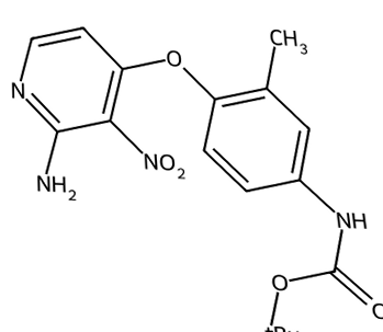 Cc1cc(NC(=O)OC(C)(C)C)ccc1Oc1ccnc(N)c1[N+](=O)[O-]